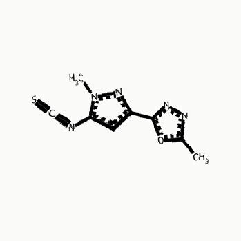 Cc1nnc(-c2cc(N=C=S)n(C)n2)o1